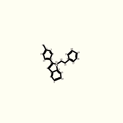 Cc1ccc(-c2cc3ccccc3n2CCc2ccccc2)cc1